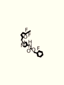 CC(F)(F)c1ccc(Cn2cc(NC(=O)OCc3ccccc3F)cn2)o1